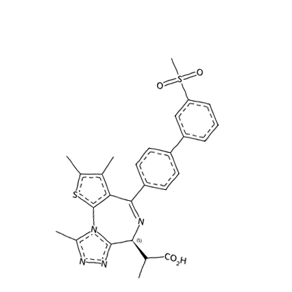 Cc1sc2c(c1C)C(c1ccc(-c3cccc(S(C)(=O)=O)c3)cc1)=N[C@@H](C(C)C(=O)O)c1nnc(C)n1-2